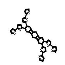 c1csc(-c2ccc(-c3cc4c(cc3-c3ccc(-c5cccs5)s3)c3cc5c6cc(-c7ccc(-c8cccs8)s7)c(-c7ccc(-c8cccs8)s7)cc6c5cc43)s2)c1